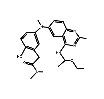 CCOC(C)Nc1nc(C)nc2ccc(N(C)c3ccc(O)c(CC(=O)N(C)C)c3)cc12